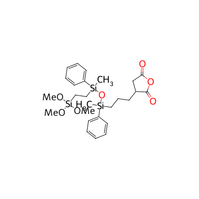 CO[Si](CC[Si](C)(O[Si](C)(CCCC1CC(=O)OC1=O)c1ccccc1)c1ccccc1)(OC)OC